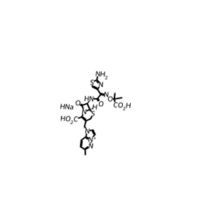 Cc1ccc2n(CC3=C(C(=O)O)N4C(=O)[C@@H](NC(=O)/C(=N\OC(C)(C)C(=O)O)c5csc(N)n5)[C@H]4SC3)cc[n+]2n1.[NaH]